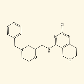 Clc1nc2c(c(NCC3CN(Cc4ccccc4)CCO3)n1)COCC2